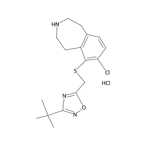 CC(C)(C)c1noc(CSc2c(Cl)ccc3c2CCNCC3)n1.Cl